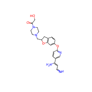 N=C/C=C(\N)c1ccc(Oc2ccc3c(c2)OC(CN2CCN(C(=O)CO)CC2)C3)nc1